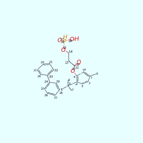 Cc1ccc(C(C)(C)C)c(OC(=O)CCO[PH](=O)O)c1.c1ccc(-c2ccccc2)cc1